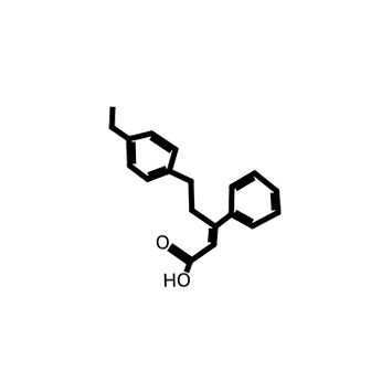 CCc1ccc(CC/C(=C\C(=O)O)c2ccccc2)cc1